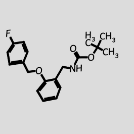 CC(C)(C)OC(=O)NCc1ccccc1OCc1ccc(F)cc1